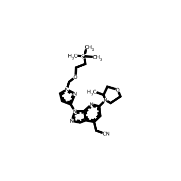 CC1COCCN1c1cc(CC#N)c2cnn(-c3ccn(COCC[Si](C)(C)C)n3)c2n1